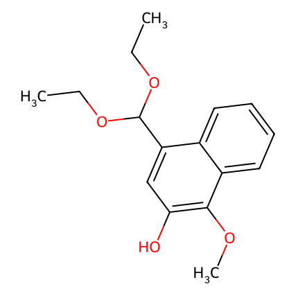 CCOC(OCC)c1cc(O)c(OC)c2ccccc12